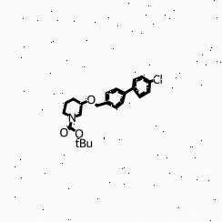 CC(C)(C)OC(=O)N1CCCC(OCc2ccc(-c3ccc(Cl)cc3)cc2)C1